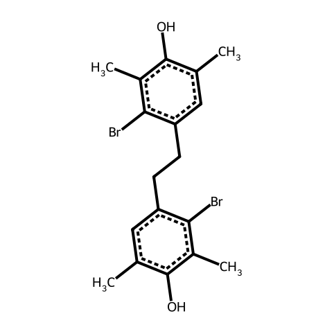 Cc1cc(CCc2cc(C)c(O)c(C)c2Br)c(Br)c(C)c1O